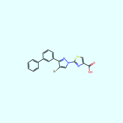 O=C(O)c1csc(-n2cc(Br)c(-c3cccc(-c4ccccc4)c3)n2)n1